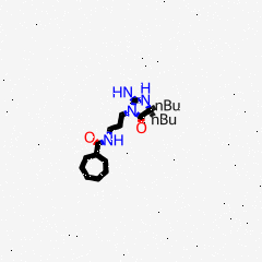 CCCCC1(CCCC)NC(=N)N(CCCNC(=O)C2CCCCCC2)C1=O